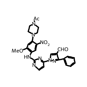 COc1cc(N2CCN(C(C)=O)CC2)c([N+](=O)[O-])cc1Nc1nccc(-n2cc(C=O)c(-c3ccccc3)n2)n1